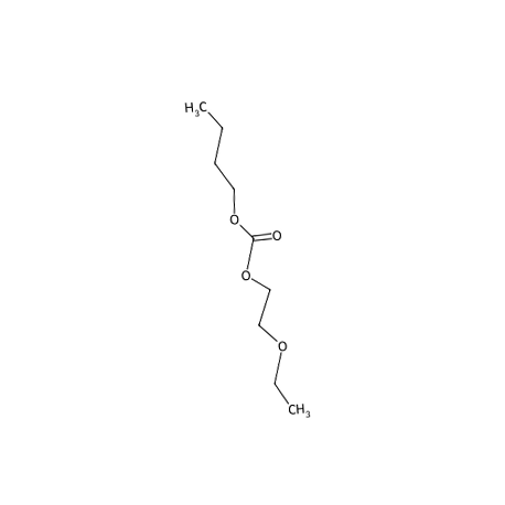 CCCCOC(=O)OCCOCC